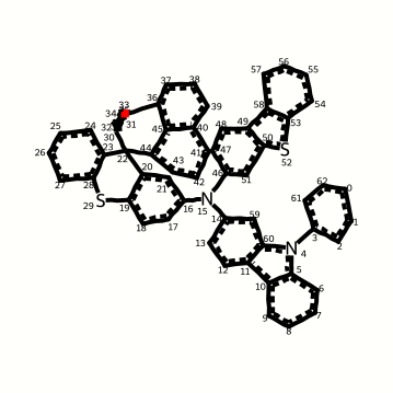 c1ccc(-n2c3ccccc3c3ccc(N(c4ccc5c(c4)C4(c6ccccc6S5)c5ccccc5-c5cccc6cccc4c56)c4ccc5c(c4)sc4ccccc45)cc32)cc1